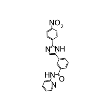 O=C(Nc1ccccn1)c1cccc(-c2cnc(-c3ccc([N+](=O)[O-])cc3)[nH]2)c1